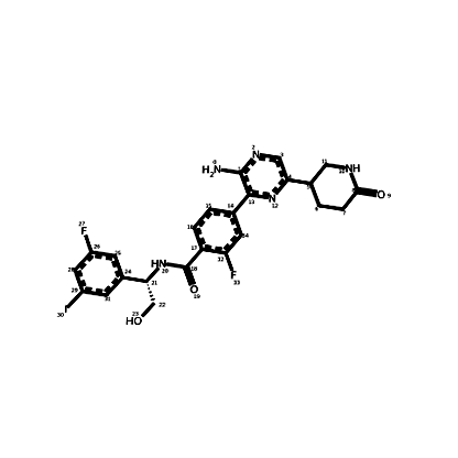 Nc1ncc(C2CCC(=O)NC2)nc1-c1ccc(C(=O)N[C@H](CO)c2cc(F)cc(I)c2)c(F)c1